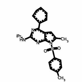 Cc1ccc(S(=O)(=O)n2c(C)cc3c(-c4ccccc4)nc(NC(C)C)nc32)cc1